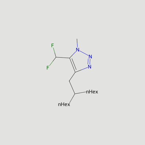 CCCCCCC(CCCCCC)Cc1nnn(C)c1C(F)F